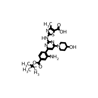 Cc1nc(Nc2nc(-c3ccc(C(=O)OC(C)(C)C)cc3N)cc(N3CCC(O)CC3)n2)sc1C(=O)O